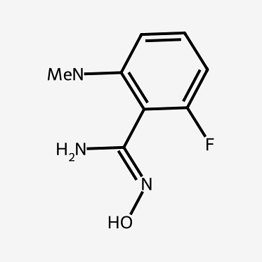 CNc1cccc(F)c1C(N)=NO